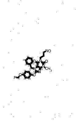 Cn1c(=O)n(CCCN=O)c(=O)c2c1nc(Oc1ccc(OCF)cc1)n2Cc1ccccc1